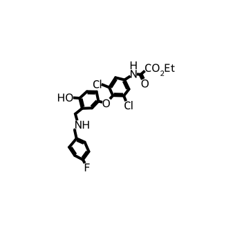 CCOC(=O)C(=O)Nc1cc(Cl)c(Oc2ccc(O)c(CNCc3ccc(F)cc3)c2)c(Cl)c1